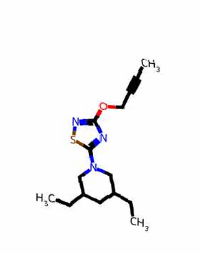 CC#CCOc1nsc(N2CC(CC)CC(CC)C2)n1